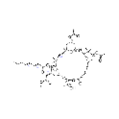 CCC/C=C/C=C/C(=O)O[C@H]1/C(=C/C(=O)OC)CC2C[C@H]([C@@H](C)O)OC(=O)CCCC3C[C@H](OC(C)=O)C(C)(C)C(C[C@@H]4C[C@@H](OC(C)=O)C[C@H](/C=C/C(C)(C)C1(O)O2)O4)O3